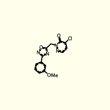 COc1cccc(-c2noc(Cn3nccc(Cl)c3=O)n2)c1